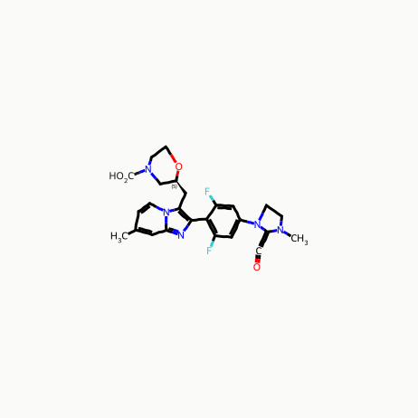 Cc1ccn2c(C[C@H]3CN(C(=O)O)CCO3)c(-c3c(F)cc(N4CCN(C)C4=C=O)cc3F)nc2c1